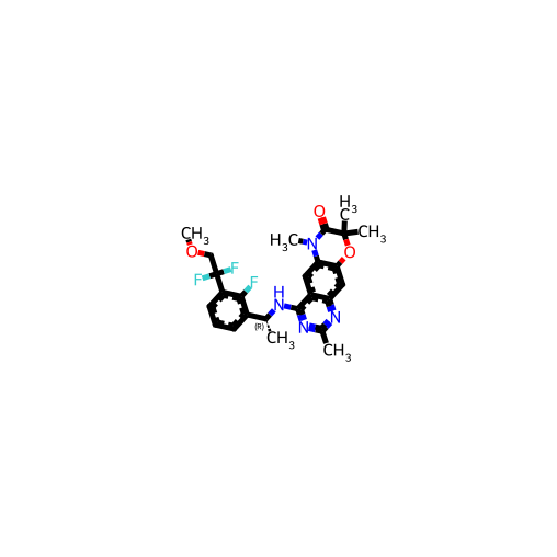 COCC(F)(F)c1cccc([C@@H](C)Nc2nc(C)nc3cc4c(cc23)N(C)C(=O)C(C)(C)O4)c1F